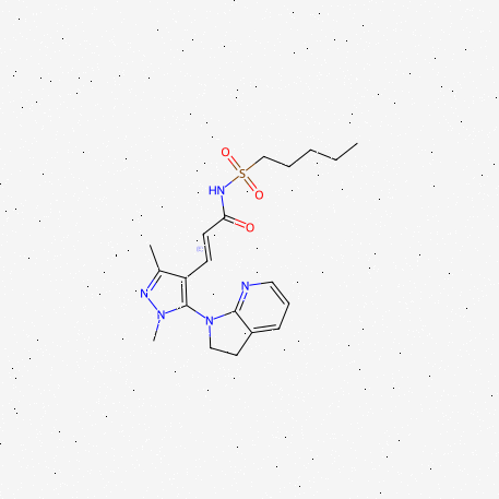 CCCCCS(=O)(=O)NC(=O)/C=C/c1c(C)nn(C)c1N1CCc2cccnc21